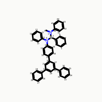 CN(B(c1ccccc1)N(c1ccccc1)c1ccc(-c2cc(-c3ccccc3)cc(-c3ccccc3)c2)cc1)c1ccccc1